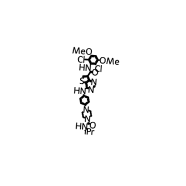 COc1cc(OC)c(Cl)c(NC(=O)c2csc3c(Nc4ccc(N5CCN(C(=O)NC(C)C)CC5)cc4)ncnc23)c1Cl